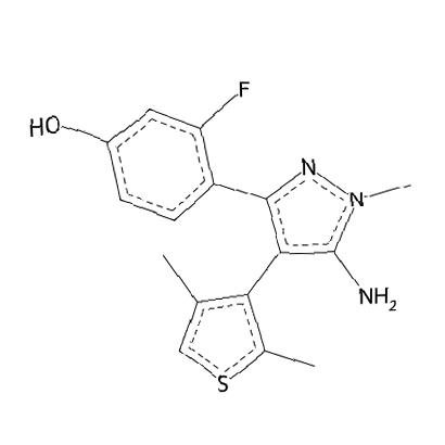 Cc1csc(C)c1-c1c(-c2ccc(O)cc2F)nn(C)c1N